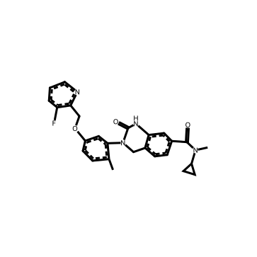 Cc1ccc(OCc2ncccc2F)cc1N1Cc2ccc(C(=O)N(C)C3CC3)cc2NC1=O